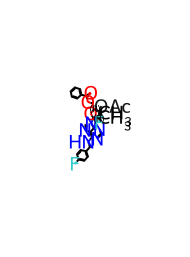 CC(=O)OC1(C)[C@@H](COC(=O)c2ccccc2)OC(n2cnc3c(NCc4ccc(F)cc4)ncnc32)[C@]1(C)F